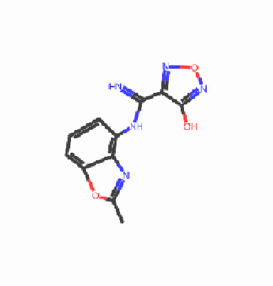 Cc1nc2c(NC(=N)c3nonc3O)cccc2o1